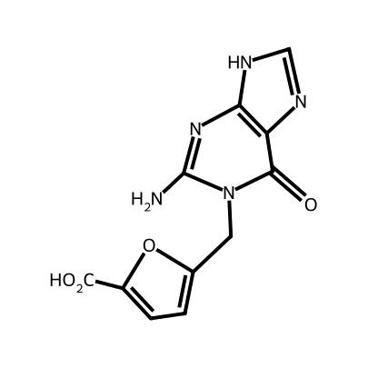 Nc1nc2[nH]cnc2c(=O)n1Cc1ccc(C(=O)O)o1